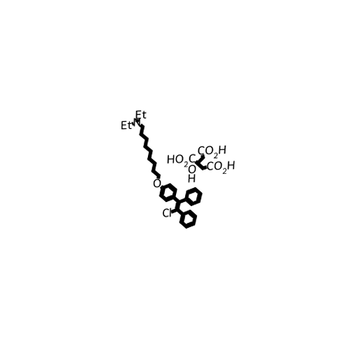 CCN(CC)CCCCCCCCCOc1ccc(C(=C(Cl)c2ccccc2)c2ccccc2)cc1.O=C(O)CC(O)(CC(=O)O)C(=O)O